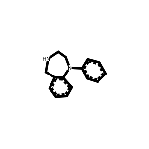 c1ccc(N2CCNCc3ccccc32)cc1